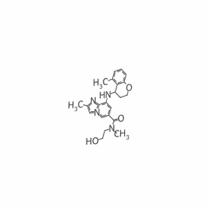 Cc1cn2cc(C(=O)N(C)CCO)cc(NC3CCOc4cccc(C)c43)c2n1